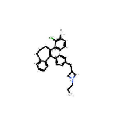 FC(F)(F)CCN1CC(Cc2ccc(C3=C(c4cccc(C(F)(F)F)c4Cl)CCCc4ccccc43)cc2)C1